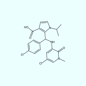 CC(C)n1ccc(C(=O)O)c1C(Nc1cc(Cl)cn(C)c1=O)c1ccc(Cl)cc1